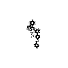 C[Si](C)(C)CCOCC1(C(CNc2cc(-c3ccc(OCc4ccccc4)cc3)ncn2)c2ccccc2)N=NN=N1